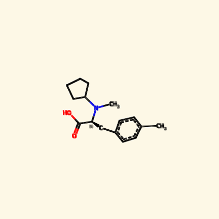 Cc1ccc(C[C@@H](C(=O)O)N(C)C2CCCC2)cc1